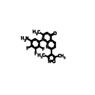 Cc1noc(C)c1-c1ccc2c(=O)cc(C)n(-c3cc(N)c(F)c(F)c3F)c2n1